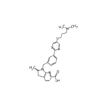 C=C1Cc2ccc(C(=O)O)nc2N1Cc1cccc(-c2ncc(OCCCN(C)C)cn2)c1